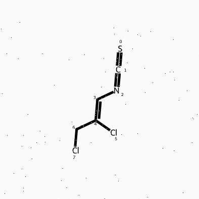 S=C=NC=C(Cl)CCl